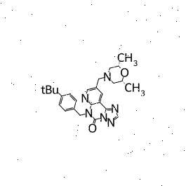 C[C@@H]1CN(Cc2cnc3c(c2)c2ncnn2c(=O)n3Cc2ccc(C(C)(C)C)cc2)C[C@H](C)O1